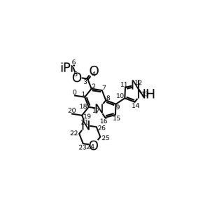 Cc1c(C(=O)OC(C)C)cc2c(-c3cn[nH]c3)ccn2c1C(C)N1CCOCC1